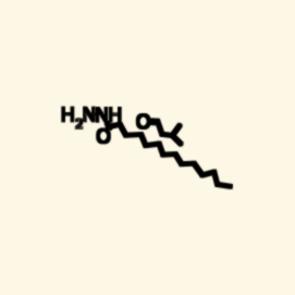 CC(C)CC=O.CCCCCCCCCCCCCC(=O)NN